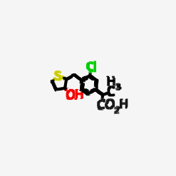 CC(C(=O)O)c1ccc(CC2SCCC2O)c(Cl)c1